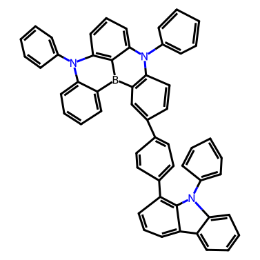 c1ccc(N2c3ccccc3B3c4cc(-c5ccc(-c6cccc7c8ccccc8n(-c8ccccc8)c67)cc5)ccc4N(c4ccccc4)c4cccc2c43)cc1